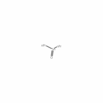 CC[CH2][Sn](=[O])[CH2]CC